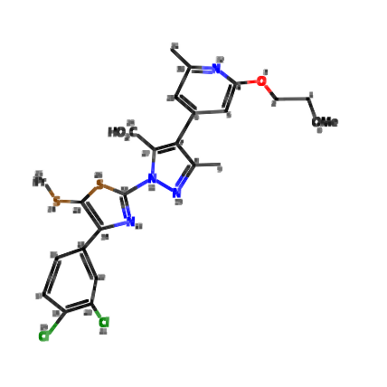 COCCOc1cc(-c2c(C)nn(-c3nc(-c4ccc(Cl)c(Cl)c4)c(SC(C)C)s3)c2C(=O)O)cc(C)n1